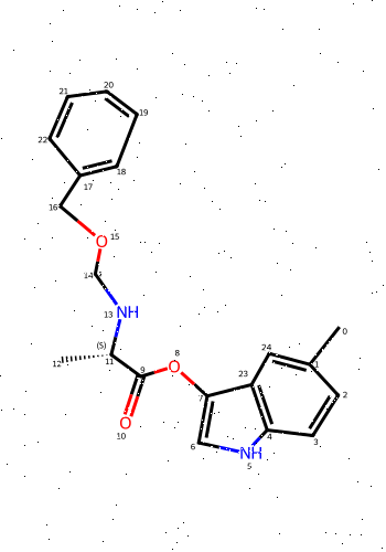 Cc1ccc2[nH]cc(OC(=O)[C@H](C)N[C]OCc3ccccc3)c2c1